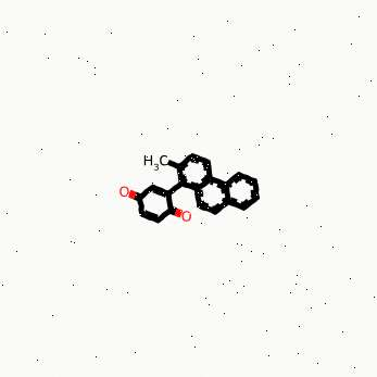 Cc1ccc2c(ccc3ccccc32)c1C1=CC(=O)C=CC1=O